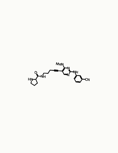 CNc1nc(Nc2cccc(C#N)c2)ncc1C#CCCCNC(=O)C1CCCN1